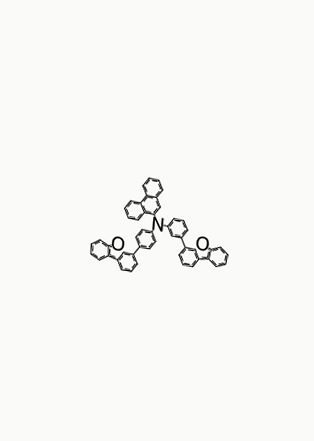 c1cc(-c2cccc3c2oc2ccccc23)cc(N(c2ccc(-c3cccc4c3oc3ccccc34)cc2)c2cc3ccccc3c3ccccc23)c1